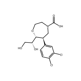 O=C(O)N1CCO[C@@H]([C@H](O)CO)[C@H](c2ccc(Cl)c(Cl)c2)C1